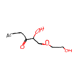 CC(=O)CC(=O)C(O)COCCO